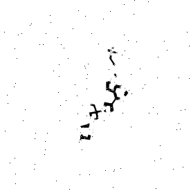 C[Si](C)(C)CCOCn1ccc2c(-c3cnn(C4(CC#N)CN(c5cnc(C(=O)O)cn5)C4)c3)ncnc21